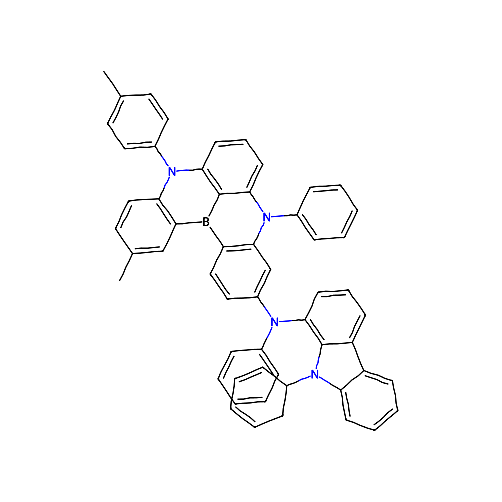 Cc1ccc(N2c3ccc(C)cc3B3c4ccc(N(c5ccccc5)c5cccc6c7ccccc7n(C7C=CC=CC7)c56)cc4N(c4ccccc4)c4cccc2c43)cc1